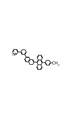 CC1=CC=C(C2=c3ccccc3=C(C3=Cc4cc(C5=CCCC(c6cccnc6)=C5)ccc4CC3)C3C=CC=CC23)CC1